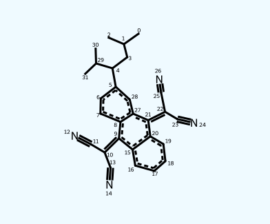 CC(C)CC(c1ccc2c(=C(C#N)C#N)c3ccccc3c(=C(C#N)C#N)c2c1)C(C)C